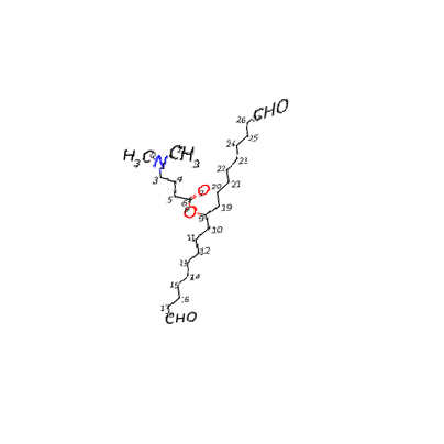 CN(C)CCCC(=O)OC(CCCCCCCCC=O)CCCCCCCCC=O